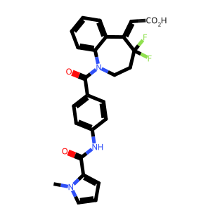 Cn1cccc1C(=O)Nc1ccc(C(=O)N2CCC(F)(F)C(=CC(=O)O)c3ccccc32)cc1